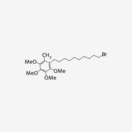 COc1c(C)c(CCCCCCCCCCBr)c(OC)c(OC)c1OC